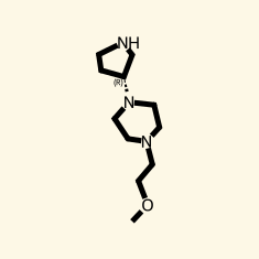 COCCN1CCN([C@@H]2CCNC2)CC1